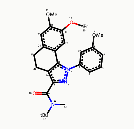 COc1cccc(-n2nc(C(=O)N(C)C(C)(C)C)c3c2-c2cc(OC(C)C)c(OC)cc2CC3)c1